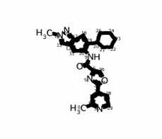 Cc1cc(-c2nc(C(=O)Nc3cc4cn(C)nc4cc3C3CCCCC3)co2)ccn1